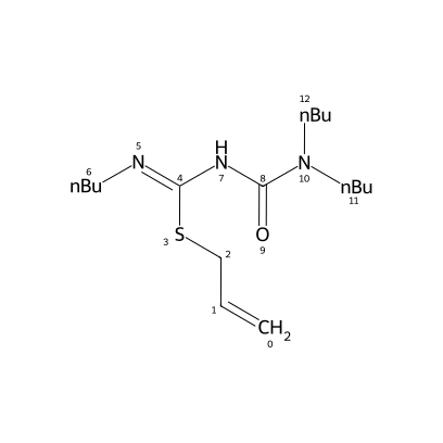 C=CCSC(=NCCCC)NC(=O)N(CCCC)CCCC